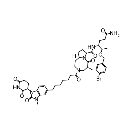 C[C@H]1CN(C(=O)CCCCCCc2ccc3c(c2)n(C)c(=O)n3C2CCC(=O)NC2=O)CC[C@H]2CC[C@@H](C(=O)N[C@@H](CCC(N)=O)[C@@H](C)OCc3ccc(Br)cc3)N2C1=O